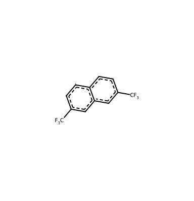 FC(F)(F)c1c[c]c2ccc(C(F)(F)F)cc2c1